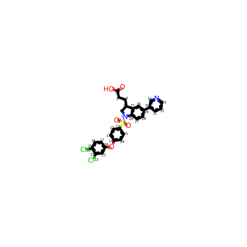 O=C(O)CCC1CN(S(=O)(=O)c2ccc(Oc3ccc(Cl)c(Cl)c3)cc2)c2ccc(-c3cccnc3)cc21